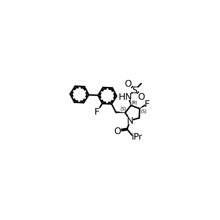 CC(C)C(=O)N1C[C@H](F)[C@H](NS(C)(=O)=O)[C@@H]1Cc1cccc(-c2ccccc2)c1F